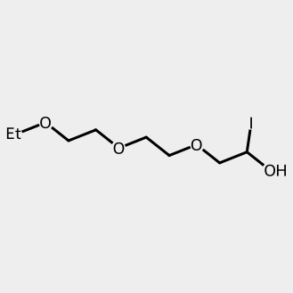 CCOCCOCCOCC(O)I